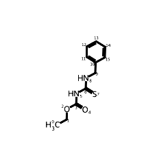 CCOC(=O)NC(=S)NCc1ccccc1